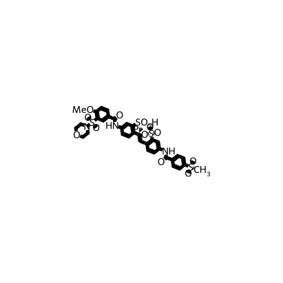 COc1ccc(C(=O)Nc2ccc(C=Cc3ccc(NC(=O)c4ccc(S(C)(=O)=O)cc4)cc3S(=O)(=O)OC(C)C)c(S(=O)(=O)O)c2)cc1S(=O)(=O)N1CCOCC1